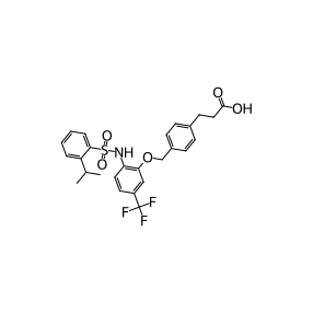 CC(C)c1ccccc1S(=O)(=O)Nc1ccc(C(F)(F)F)cc1OCc1ccc(CCC(=O)O)cc1